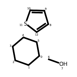 C1CCCCC1.CO.c1ccsc1